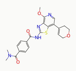 COc1ncc(C2=CCOCC2)c2sc(NC(=O)c3ccc(C(=O)N(C)C)cc3)nc12